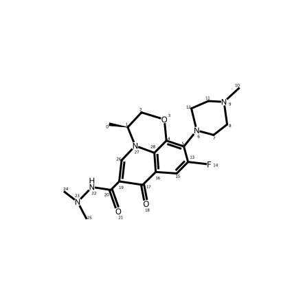 C[C@H]1COc2c(N3CCN(C)CC3)c(F)cc3c(=O)c(C(=O)NN(C)C)cn1c23